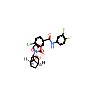 O=C(Nc1ccc(F)c(F)c1)c1ccc(Cl)c(S(=O)(=O)[C@@H]2C[C@H]3CC[C@@H](C2)[C@@]3(O)CN2CCOC2=O)c1